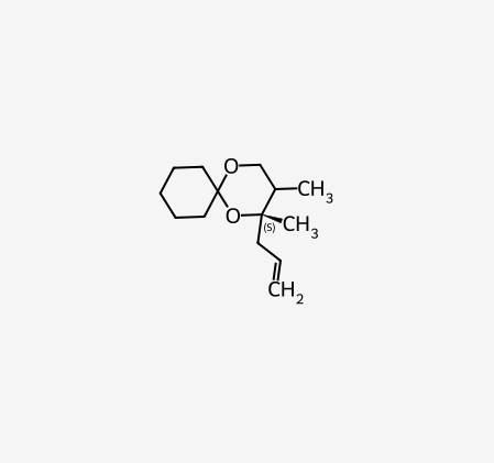 C=CC[C@]1(C)OC2(CCCCC2)OCC1C